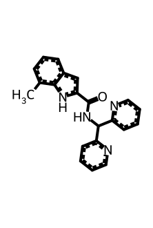 Cc1cccc2cc(C(=O)NC(c3ccccn3)c3ccccn3)[nH]c12